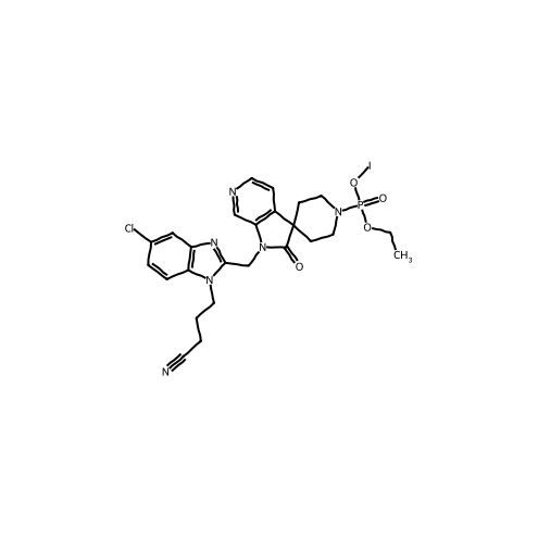 CCOP(=O)(OI)N1CCC2(CC1)C(=O)N(Cc1nc3cc(Cl)ccc3n1CCCC#N)c1cnccc12